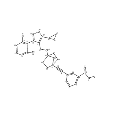 COC(=O)c1cccc(C#CC23CCC(OCc4c(-c5c(Cl)cccc5Cl)noc4C4CC4)(CC2)C3)c1